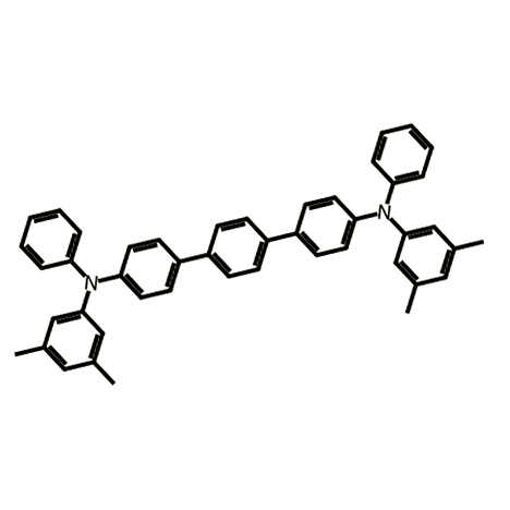 Cc1cc(C)cc(N(c2ccccc2)c2ccc(-c3ccc(-c4ccc(N(c5ccccc5)c5cc(C)cc(C)c5)cc4)cc3)cc2)c1